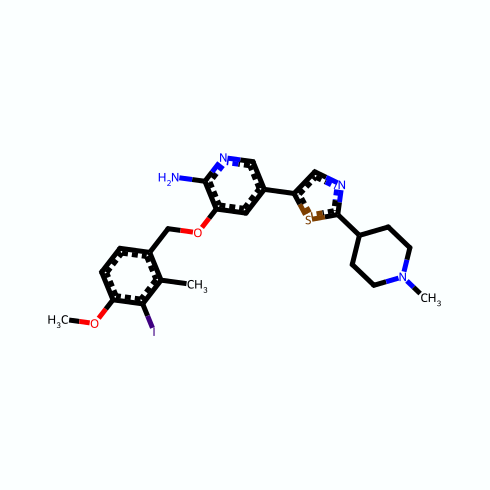 COc1ccc(COc2cc(-c3cnc(C4CCN(C)CC4)s3)cnc2N)c(C)c1I